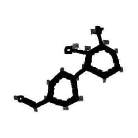 O=Cc1ccc(-c2cccc(Br)c2Cl)cc1